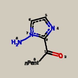 CCCCCC(=O)c1nccn1N